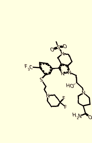 CS(=O)(=O)N1CCc2c(c(-c3ccc(C(F)(F)F)c(SCCN4CCCC(F)(F)C4)c3)nn2C[C@@H](O)CN2CCC(C(N)=O)CC2)C1